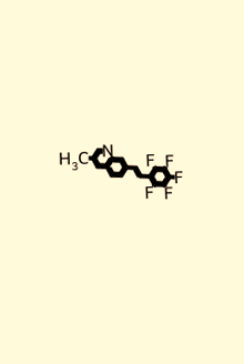 Cc1cnc2cc(/C=C/c3c(F)c(F)c(F)c(F)c3F)ccc2c1